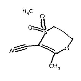 C.CC1=C(C#N)S(=O)(=O)CCO1